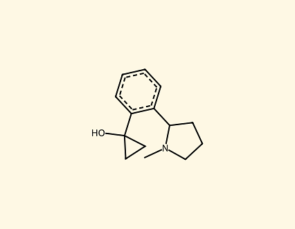 CN1CCCC1c1ccccc1C1(O)CC1